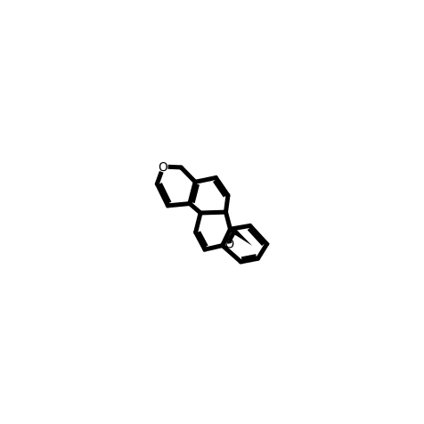 C1=CC23C=CC4C5=C(C=CC4C2(C=C1)CCCO3)COC=C5